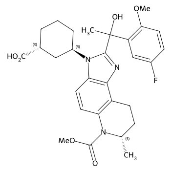 COC(=O)N1c2ccc3c(nc(C(C)(O)c4cc(F)ccc4OC)n3[C@@H]3CCC[C@@H](C(=O)O)C3)c2CC[C@@H]1C